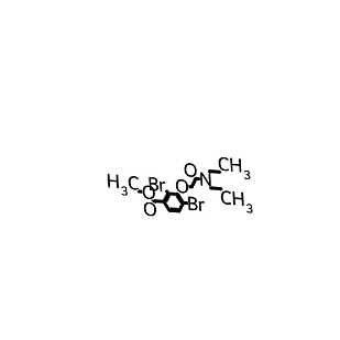 CCCN(CCC)C(=O)COc1c(Br)ccc(C(=O)OCC)c1Br